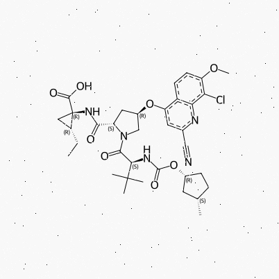 CC[C@@H]1C[C@]1(NC(=O)[C@@H]1C[C@@H](Oc2cc(C#N)nc3c(Cl)c(OC)ccc23)CN1C(=O)[C@@H](NC(=O)O[C@@H]1CC[C@H](C)C1)C(C)(C)C)C(=O)O